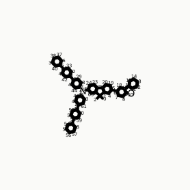 CC1(C)c2cc(-c3ccc4oc5ccccc5c4c3)ccc2-c2ccc(N(c3ccc(-c4ccc(-c5ccccc5)cc4)cc3)c3ccc(-c4ccc(-c5ccccc5)cc4)cc3)cc21